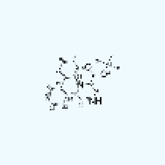 CC(C)(C)OC(=O)C1CNCCN1c1ccccc1-c1[c]nccc1